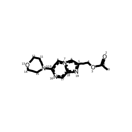 CC(=O)OCc1cn2cc(N3CCOCC3)ncc2n1